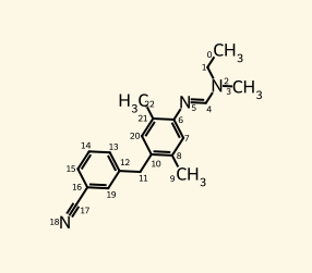 CCN(C)C=Nc1cc(C)c(Cc2cccc(C#N)c2)cc1C